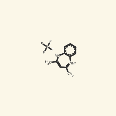 CC1=CC(C)=[NH+]c2ccccc2N1.F[B-](F)(F)F